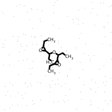 CCC(OC(CC)C1OC1CC)C1OC1CC